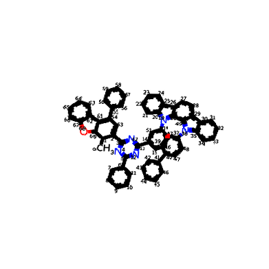 CC1C(c2nc(-c3ccccc3)nc(-c3cccc(-n4c5ccccc5c5ccc6c7ccccc7n(-c7ccc(-c8ccccc8)cc7)c6c54)c3)n2)=CC(c2ccccc2)=C2c3ccccc3OC21